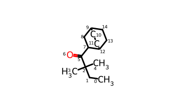 CCC(C)(C)C(=O)C1CC2CCC1CC2